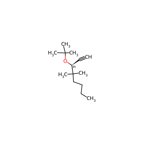 C#C[C@H](OC(C)(C)C)C(C)(C)CCCC